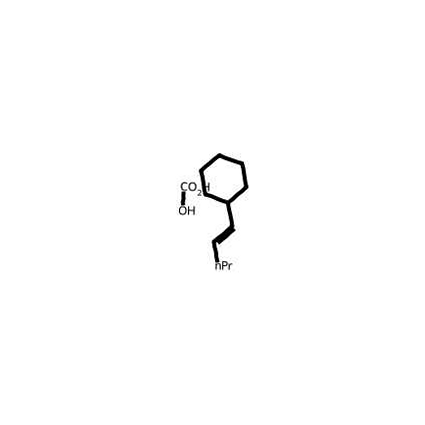 CCC/C=C/C1CCCCC1.O=C(O)O